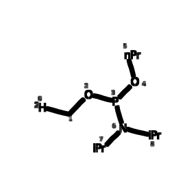 [2H]COP(OCCC)N(C(C)C)C(C)C